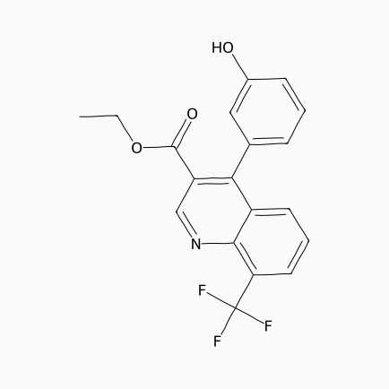 CCOC(=O)c1cnc2c(C(F)(F)F)cccc2c1-c1cccc(O)c1